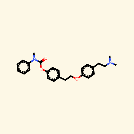 CN(C)CCc1ccc(OCCc2ccc(OC(=O)N(C)c3ccccc3)cc2)cc1